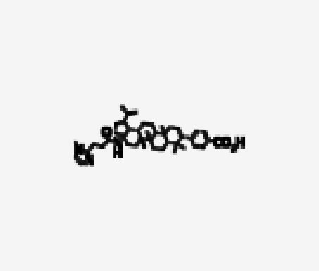 C=C(C)C1CCC2(NC(=O)CCc3nccn3C)CC[C@]3(C)C(CCC4C5(C)CC=C(c6ccc(C(=O)O)cc6)C(C)(C)C5CCC43C)C12